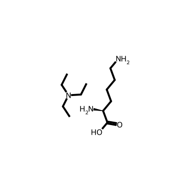 CCN(CC)CC.NCCCC[C@H](N)C(=O)O